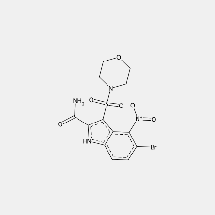 NC(=O)c1[nH]c2ccc(Br)c([N+](=O)[O-])c2c1S(=O)(=O)N1CCOCC1